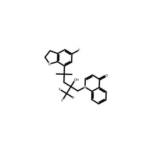 CC(C)(CC(O)(Cn1ccc(=O)c2ccccc21)C(F)(F)F)c1cc(F)cc2c1OCC2